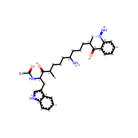 CCC(=O)NC(Cc1c[nH]c2ccccc12)C(=O)C(C)CCCC(N)CCCC(C)C(=O)c1ccccc1N=N